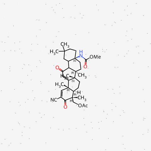 COC(=O)N[C@]12CCC(C)(C)CC1C1C(=O)C=C3[C@@]4(C)C=C(C#N)C(=O)[C@@](C)(COC(C)=O)[C@@H]4CC[C@@]3(C)[C@]1(C)CC2